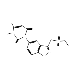 Cn1c(C(F)(F)F)cc(=O)n(-c2ccc3snc(CS(=O)(=O)CC(=O)O)c3c2)c1=O